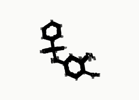 CC(=O)Oc1ccc(NS(=O)(=O)c2ccccc2)cc1C